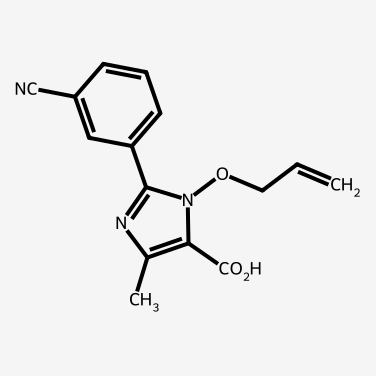 C=CCOn1c(-c2cccc(C#N)c2)nc(C)c1C(=O)O